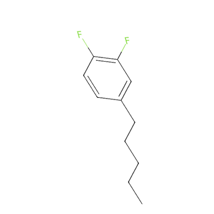 CCCCCc1ccc(F)c(F)c1